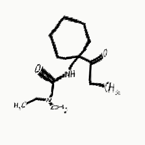 CCC(=O)C1(NC(=O)N(C)C)CCCCC1